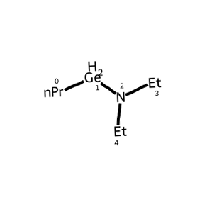 CC[CH2][GeH2][N](CC)CC